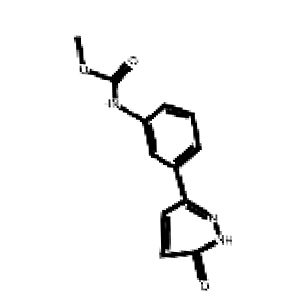 COC(=O)Nc1cccc(-c2ccc(=O)[nH]n2)c1